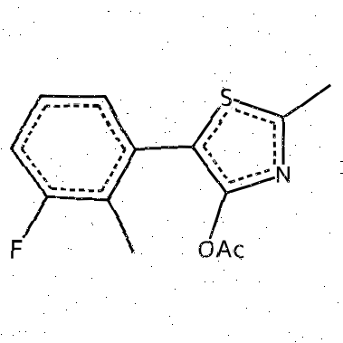 CC(=O)Oc1nc(C)sc1-c1cccc(F)c1C